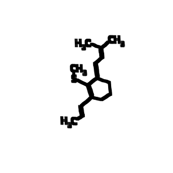 C/C=C/C1=C(SC)C(=C/C=C(C)C)/CCC1